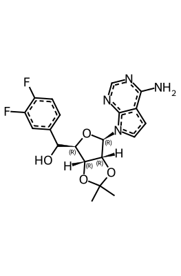 CC1(C)O[C@@H]2[C@H](O1)[C@@H](C(O)c1ccc(F)c(F)c1)O[C@H]2n1ccc2c(N)ncnc21